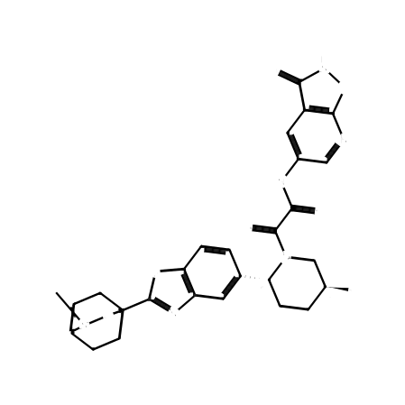 C[C@H]1CC[C@H](c2ccc3sc(C45CCC(CC4)N(C)C5)nc3c2)N(C(=O)C(=O)Nc2cnc3o[nH]c(=O)c3c2)C1